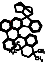 CC1(C)CCC(C)(C)c2c(N(c3ccccc3-c3ccccc3)c3cccc4c3-c3ccccc3C43C4CC5CC(C4)C3C5)cccc21